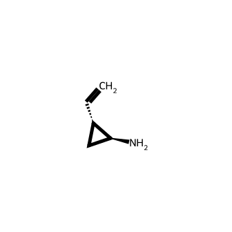 C=C[C@H]1C[C@@H]1N